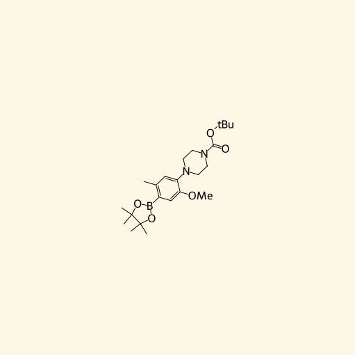 COc1cc(B2OC(C)(C)C(C)(C)O2)c(C)cc1N1CCN(C(=O)OC(C)(C)C)CC1